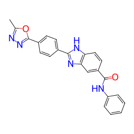 Cc1nnc(-c2ccc(-c3nc4cc(C(=O)Nc5ccccc5)ccc4[nH]3)cc2)o1